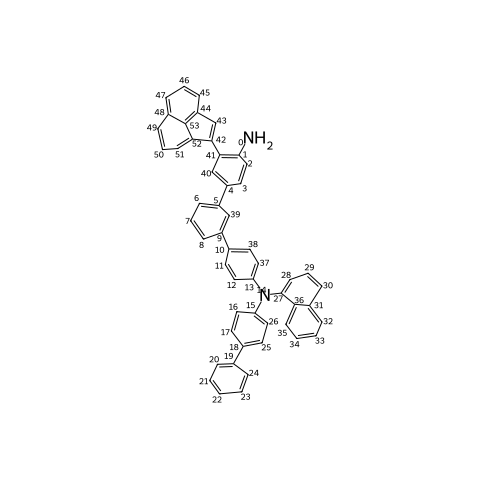 Nc1ccc(-c2cccc(-c3ccc(N(c4ccc(-c5ccccc5)cc4)c4cccc5ccccc45)cc3)c2)cc1C1=Cc2cccc3cccc1c23